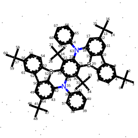 CC(C)(C)c1ccc2c(c1)-c1cc(C(C)(C)C)cc3c1B2c1c(c(C(C)(C)C)c2c(c1C(C)(C)C)N(c1ccccc1)c1cc(C(C)(C)C)cc4c1B2c1ccc(C(C)(C)C)cc1-4)N3c1ccccc1